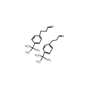 CC(C)(C)c1ccc(CCC=O)cc1.CC(C)(C)c1ccc(CCC=O)cc1